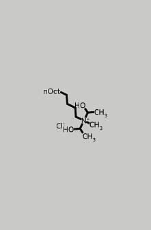 CCCCCCCCCCCC[N+](C)(C(C)O)C(C)O.[Cl-]